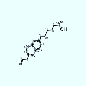 C=CCc1cnc2cc(C=CCCCC(C)O)ccc2n1